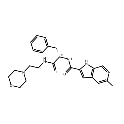 O=C(N[C@@H](Cc1ccccc1)C(=O)NCCN1CCOCC1)c1cc2cc(Cl)ncc2[nH]1